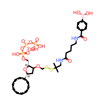 CC(C)(CNC(=O)CCCCNC(=O)c1ccc(B(O)O)cc1)SSCOC1C[C@H](c2ccccccccc2)O[C@@H]1COP(=O)(O)OP(=O)(O)OP(=O)(O)O